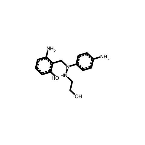 Nc1ccc(N(Cc2c(N)cccc2O)NCCO)cc1